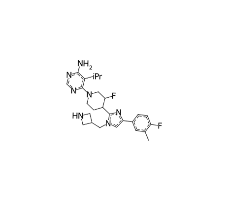 Cc1cc(-c2cn(CC3CNC3)c(C3CCN(c4ncnc(N)c4C(C)C)CC3F)n2)ccc1F